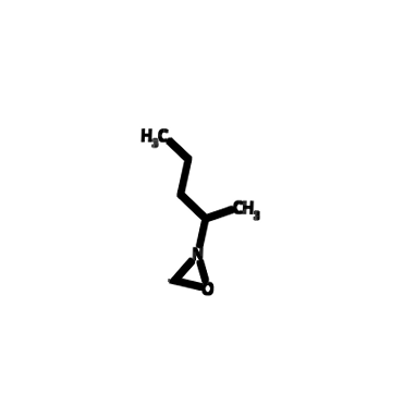 CCCC(C)N1[CH]O1